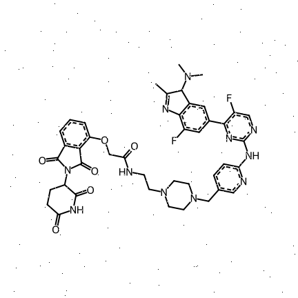 CC1=Nc2c(F)cc(-c3nc(Nc4ccc(CN5CCN(CCNC(=O)COc6cccc7c6C(=O)N(C6CCC(=O)NC6=O)C7=O)CC5)cn4)ncc3F)cc2C1N(C)C